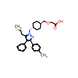 CSCCc1c(-c2ccccc2)c(-c2ccc(C)cc2)nn1C[C@H]1CC[C@H](COCC(=O)O)CC1